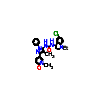 CCN1CCC(NC(=O)Nc2c(C)c(-c3ccc(=O)n(C)c3)nn2-c2ccccc2)c2cc(Cl)ccc21